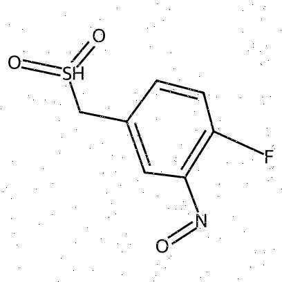 O=Nc1cc(C[SH](=O)=O)ccc1F